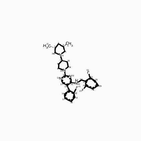 C[C@@H]1C[C@H](C)CN(C2CCN(c3ncc(-c4ccccc4F)c(NCc4c(F)cccc4F)n3)CC2)C1